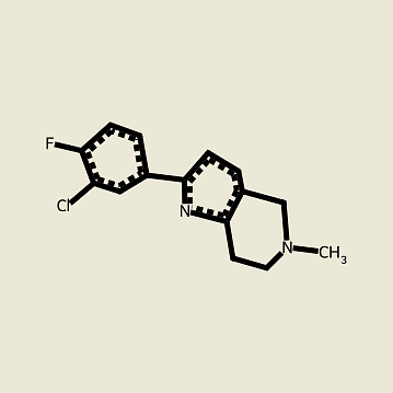 CN1CCc2nc(-c3ccc(F)c(Cl)c3)ccc2C1